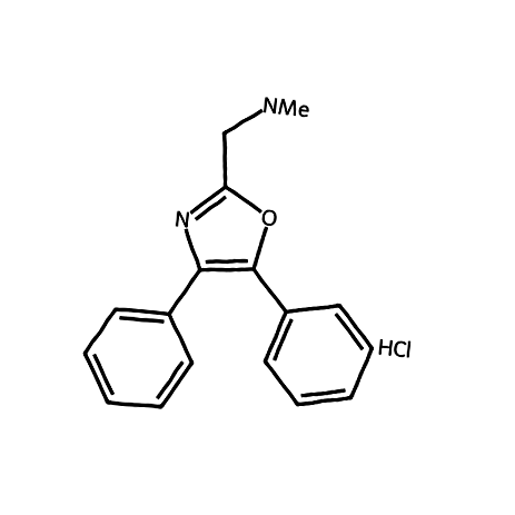 CNCc1nc(-c2ccccc2)c(-c2ccccc2)o1.Cl